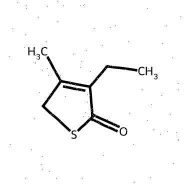 CCC1=C(C)CSC1=O